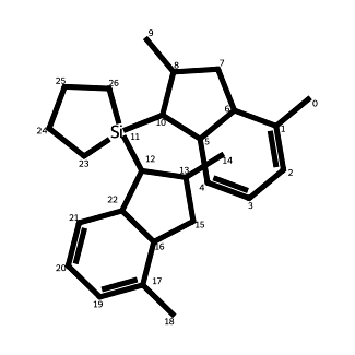 CC1=CC=CC2C1CC(C)C2[Si]1(C2C(C)CC3C(C)=CC=CC32)CCCC1